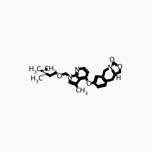 Cc1cn(COCCS(C)(C)C)c2nccc(Oc3ccc4c(c3)CN3C(=O)OC[C@H]3C4)c12